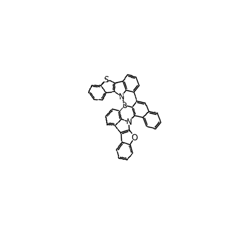 c1ccc2c3c4c(cc2c1)-c1cccc2c5sc6ccccc6c5n(c12)B4c1cccc2c4c5ccccc5oc4n-3c12